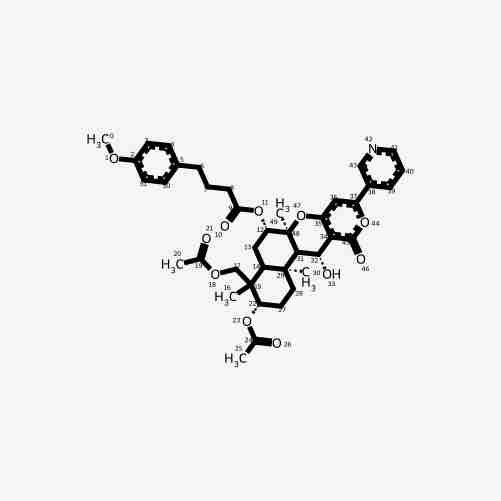 COc1ccc(CCCC(=O)O[C@H]2CC3C(C)(COC(C)=O)[C@@H](OC(C)=O)CC[C@]3(C)C3[C@@H](O)c4c(cc(-c5cccnc5)oc4=O)O[C@@]32C)cc1